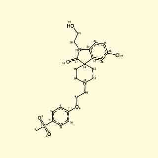 CS(=O)(=O)c1ccc(OCCN2CCC3(CC2)C(=O)N(CCO)c2ccc(Cl)cc23)cc1